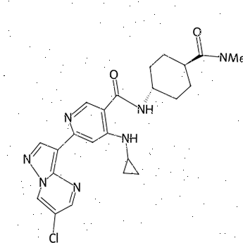 CNC(=O)[C@H]1CC[C@H](NC(=O)c2cnc(-c3cnn4cc(Cl)cnc34)cc2NC2CC2)CC1